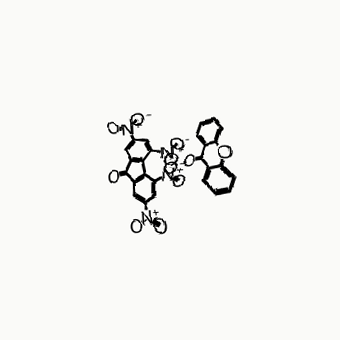 O=C1c2cc([N+](=O)[O-])cc([N+](=O)[O-])c2-c2c1cc([N+](=O)[O-])cc2[N+](=O)[O-].O=c1c2ccccc2oc2ccccc12